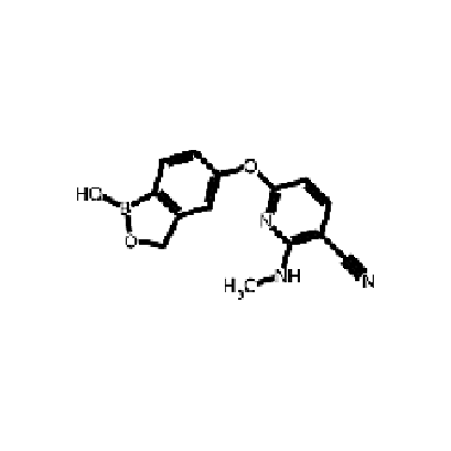 CNc1nc(Oc2ccc3c(c2)COB3O)ccc1C#N